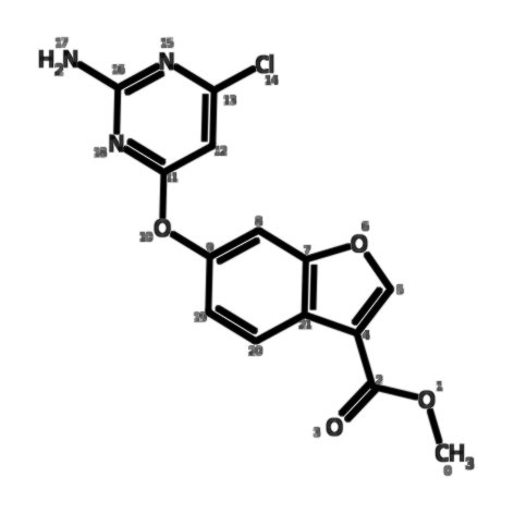 COC(=O)c1coc2cc(Oc3cc(Cl)nc(N)n3)ccc12